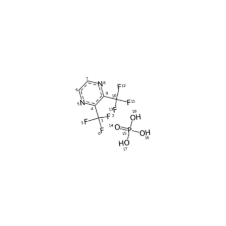 FC(F)(F)c1nccnc1C(F)(F)F.O=P(O)(O)O